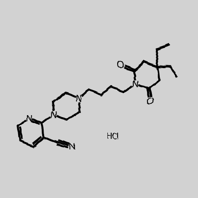 CCC1(CC)CC(=O)N(CCCCN2CCN(c3ncccc3C#N)CC2)C(=O)C1.Cl